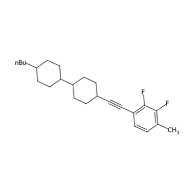 CCCCC1CCC(C2CCC(C#Cc3ccc(C)c(F)c3F)CC2)CC1